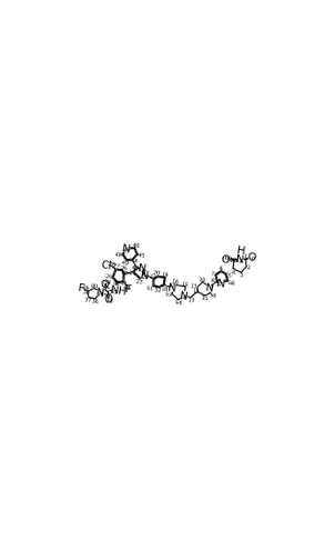 O=C1CC[C@H](c2ccc(N3CCC(CN4CCN(c5ccc(-n6cc(-c7cc(Cl)cc(NS(=O)(=O)N8CC[C@@H](F)C8)c7F)c(-c7ccncc7)n6)cc5)CC4)CC3)nc2)C(=O)N1